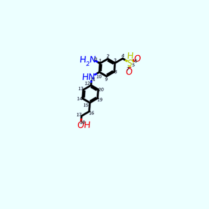 Nc1cc(C[SH](=O)=O)ccc1Nc1ccc(CCO)cc1